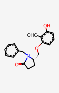 O=Cc1c(O)cccc1OC[C@@H]1CCC(=O)N1Cc1ccccc1